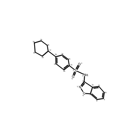 O=S(=O)(Nc1noc2ccccc12)c1ccc(C2CCCCC2)cc1